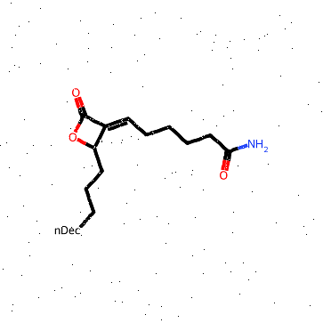 CCCCCCCCCCCCCC1OC(=O)C1=CCCCCC(N)=O